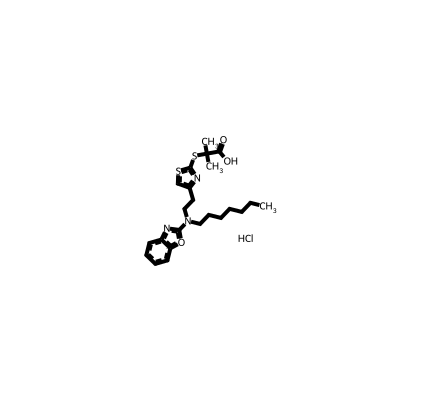 CCCCCCCN(CCc1csc(SC(C)(C)C(=O)O)n1)c1nc2ccccc2o1.Cl